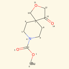 CC(C)(C)OC(=O)N1CCC2(CC1)COCC2=O